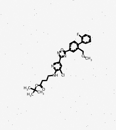 COCc1cc(-c2nc(-c3cnc(NCCCC(=O)OC(C)(C)C)c(Cl)c3)no2)ccc1-c1ccccc1F